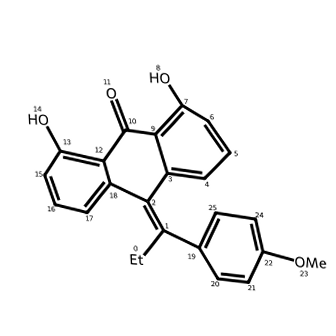 CCC(=C1c2cccc(O)c2C(=O)c2c(O)cccc21)c1ccc(OC)cc1